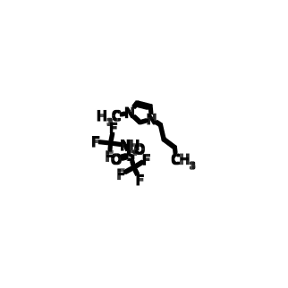 CCCCN1C=CN(C)C1.O=S(=O)(NC(F)(F)F)C(F)(F)F